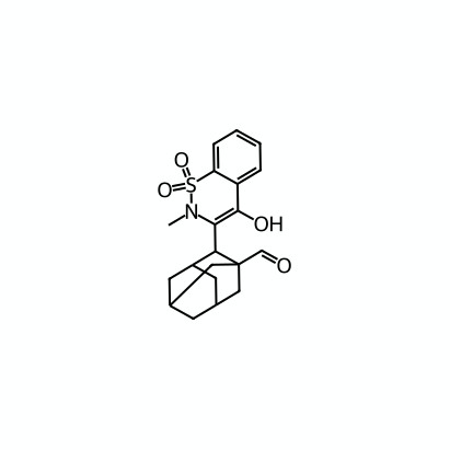 CN1C(C2C3CC4CC(C3)CC2(C=O)C4)=C(O)c2ccccc2S1(=O)=O